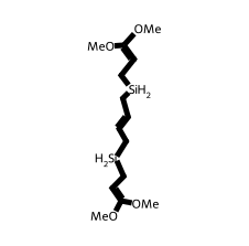 COC(=CC[SiH2]CC=CC[SiH2]CC=C(OC)OC)OC